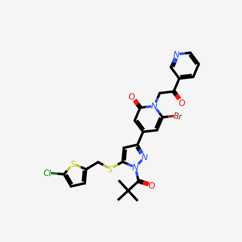 CC(C)(C)C(=O)n1nc(-c2cc(Br)n(CC(=O)c3cccnc3)c(=O)c2)cc1SCc1ccc(Cl)s1